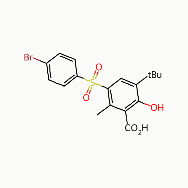 Cc1c(S(=O)(=O)c2ccc(Br)cc2)cc(C(C)(C)C)c(O)c1C(=O)O